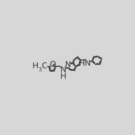 Cc1ccc(CNc2ccc3cc(CNc4ccccc4)ccc3n2)o1